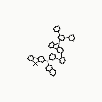 CC1(C)c2ccccc2-c2ccc(N(c3cccc(-c4ccccc4-c4ccc5c(c4)c4ccccc4n5-c4cc(-c5ccccc5)cc(-c5ccccc5)c4)c3)c3ccc4ccccc4c3)cc21